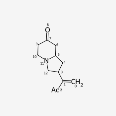 C=C(C(C)=O)C1CC2CC(=O)CCN2C1